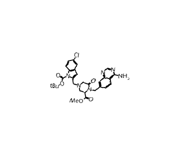 COC(=O)C1CN(Cc2cc3cc(Cl)ccc3n2C(=O)OC(C)(C)C)CC(=O)N1Cc1ccc2c(N)ncnc2c1